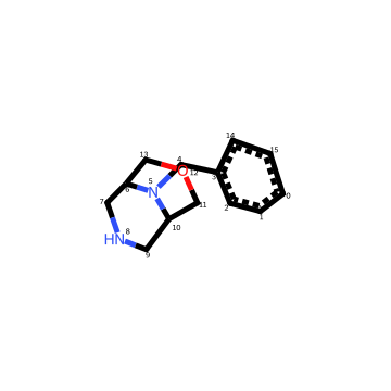 c1ccc(CN2C3CNCC2COC3)cc1